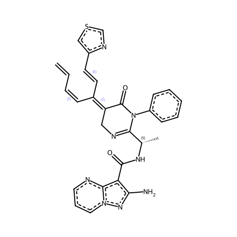 C=C\C=C/C(/C=C/c1cscn1)=C1\CN=C([C@H](C)NC(=O)c2c(N)nn3cccnc23)N(c2ccccc2)C1=O